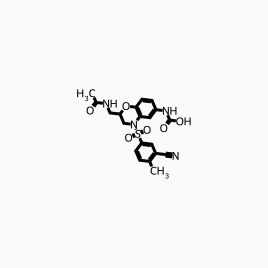 CC(=O)NCC1CN(S(=O)(=O)c2ccc(C)c(C#N)c2)c2cc(NC(=O)O)ccc2O1